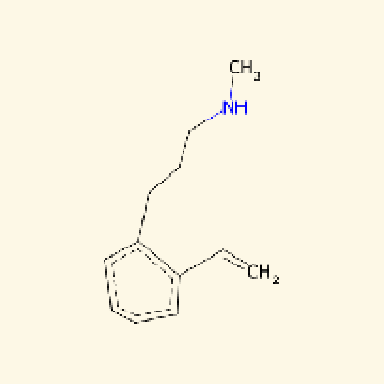 C=Cc1ccccc1CCCNC